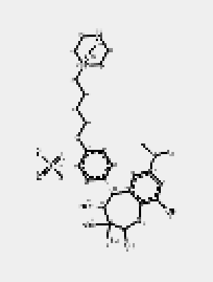 CCCCC1(CCCC)C(O)Sc2c(O)cc(N(C)C)cc2[C@@H](c2ccc(OCCCC[N+]34CCN(CC3)CC4)cc2)[C@H]1O.CS(=O)(=O)[O-]